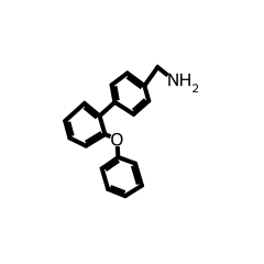 NCc1ccc(-c2ccccc2Oc2ccccc2)cc1